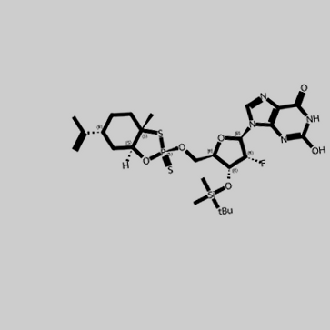 C=C(C)[C@@H]1CC[C@]2(C)S[P@@](=S)(OC[C@H]3O[C@@H](n4cnc5c(=O)[nH]c(O)nc54)[C@H](F)[C@@H]3O[Si](C)(C)C(C)(C)C)O[C@H]2C1